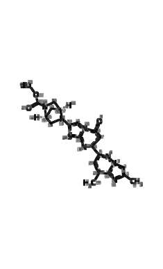 Cc1cn2nc(-c3cc(=O)n4cc(N5C[C@@H]6C[C@H]5CN6C(=O)OC(C)(C)C)sc4n3)cc(C)c2n1